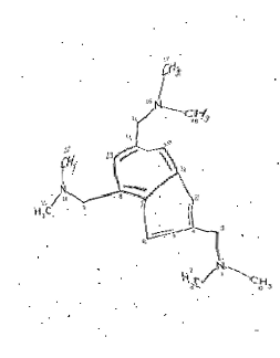 CN(C)Cc1ccc2c(CN(C)C)cc(CN(C)C)cc2c1